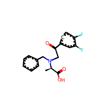 C[C@H](C(=O)O)N(CC(=O)c1ccc(F)c(F)c1)Cc1ccccc1